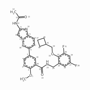 COc1ncc(-c2ccc3nc(NC(C)=O)cn3n2)cc1C(=O)NCc1cc(F)cc(F)c1OCC1CCC1